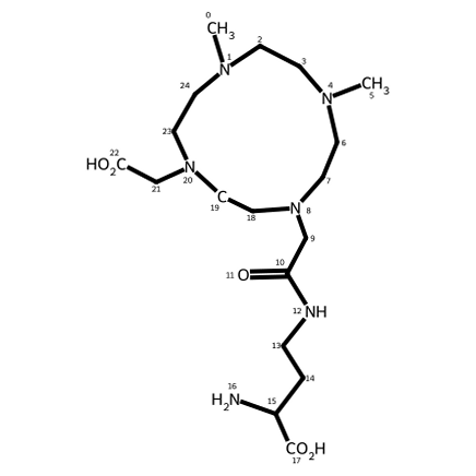 CN1CCN(C)CCN(CC(=O)NCCC(N)C(=O)O)CCN(CC(=O)O)CC1